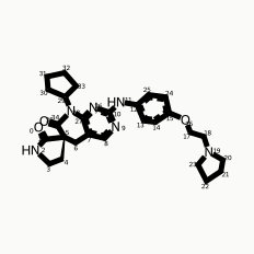 O=C1NCC[C@@]12Cc1cnc(Nc3ccc(OCCN4CCCC4)cc3)nc1N(C1CCCC1)C2=O